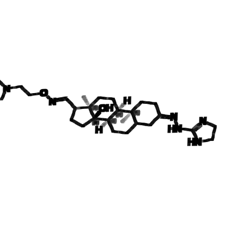 CN(C)CCON=CC1CC[C@@]2(O)[C@@H]3CCC4CC(=NNC5=NCCN5)CC[C@]4(C)[C@@H]3CC[C@]12C